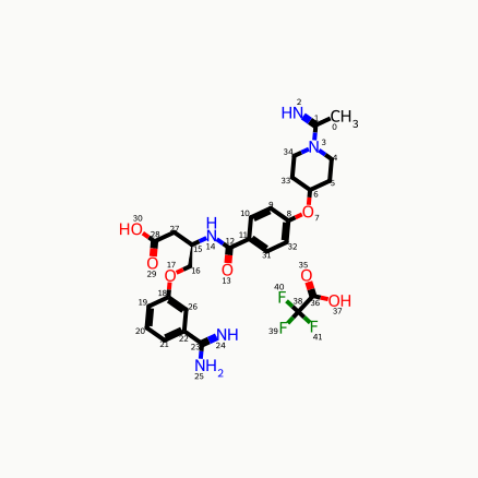 CC(=N)N1CCC(Oc2ccc(C(=O)N[C@@H](COc3cccc(C(=N)N)c3)CC(=O)O)cc2)CC1.O=C(O)C(F)(F)F